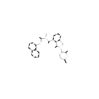 CN(C(=O)Nc1cccc2ccccc12)C(=O)c1cccc2c1C(=O)N(C1CCC(=O)NC1=O)C2